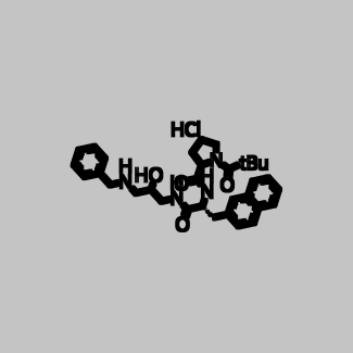 CC(C)(C)C(=O)N1CCCC1C(=O)N[C@H](Cc1ccc2ccccc2c1)C(=O)NCC(O)CNCc1ccccc1.Cl